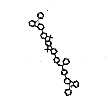 CC1(C)c2cc(-c3ccc(/C=C(\c4ccccc4)c4ccc(-c5ccc6c(c5)c5ccccc5n6-c5ccccc5)cc4)cc3)ccc2-c2cc3c(cc21)-c1ccc(-c2ccc4c(c2)c2ccccc2n4-c2ccccc2)cc1C3(C)C